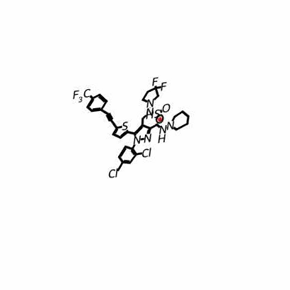 O=C(NN1CCCCC1)c1nn(-c2ccc(Cl)cc2Cl)c(-c2ccc(C#Cc3ccc(C(F)(F)F)cc3)s2)c1CN(N1CCC(F)(F)C1)[SH](=O)=O